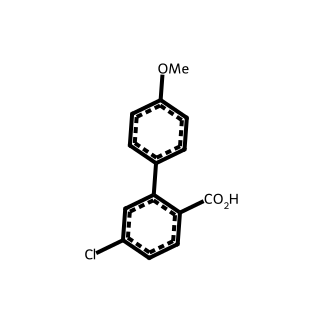 COc1ccc(-c2cc(Cl)ccc2C(=O)O)cc1